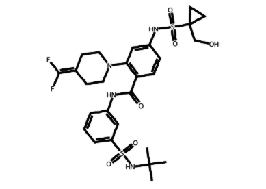 CC(C)(C)NS(=O)(=O)c1cccc(NC(=O)c2ccc(NS(=O)(=O)C3(CO)CC3)cc2N2CCC(=C(F)F)CC2)c1